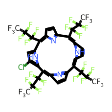 FC(F)(F)C(F)(F)C(F)(F)c1c2nc(c(C(F)(F)C(F)(F)C(F)(F)F)c3cc(Cl)c([nH]3)c(C(F)(F)C(F)(F)C(F)(F)F)c3nc(c(C(F)(F)C(F)(F)C(F)(F)F)c4ccc1[nH]4)C=C3)C=C2